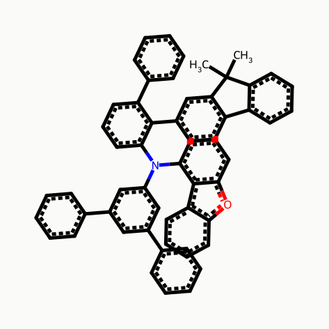 CC1(C)c2ccccc2-c2ccc(-c3c(-c4ccccc4)cccc3N(c3cc(-c4ccccc4)cc(-c4ccccc4)c3)c3cccc4oc5ccccc5c34)cc21